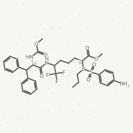 CCCN([C@@H](CCCC(NC(=O)[C@@H](NC(=O)OC)C(c1ccccc1)c1ccccc1)C(F)(F)F)C(=O)OC)S(=O)(=O)c1ccc(N)cc1